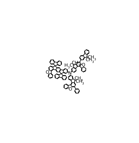 CC1(C)c2ccccc2-c2ccc(-c3cc4c(c5c3OC3CC=CC=C53)-c3ccc(N(c5ccc6c(c5)C(C)(C)c5cc(-c7ccccc7)c7oc8ccccc8c7c5-6)c5ccc6c(c5)C5(c7ccccc7-c7ccccc75)c5cc7c(cc5-6)C5(c6ccccc6-c6ccccc65)c5ccc6oc8ccccc8c6c5-7)cc3C4(C)C)cc21